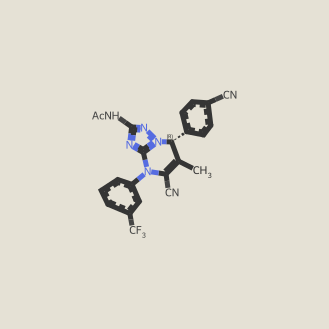 CC(=O)Nc1nc2n(n1)[C@H](c1ccc(C#N)cc1)C(C)=C(C#N)N2c1cccc(C(F)(F)F)c1